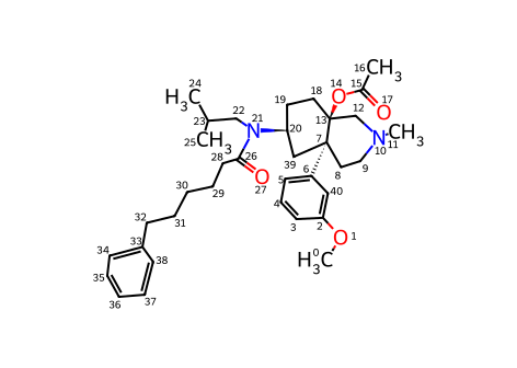 COc1cccc([C@@]23CCN(C)C[C@@]2(OC(C)=O)CC[C@H](N(CC(C)C)C(=O)CCCCCc2ccccc2)C3)c1